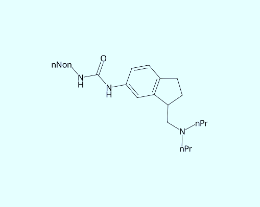 CCCCCCCCCNC(=O)Nc1ccc2c(c1)C(CN(CCC)CCC)CC2